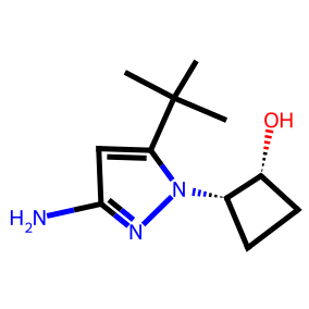 CC(C)(C)c1cc(N)nn1[C@H]1CC[C@H]1O